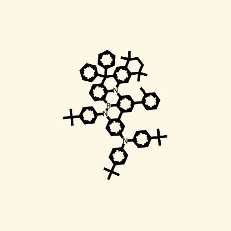 Cc1ccccc1-c1cc2c3c(c1)N1c4cc5c(cc4C(c4ccccc4)(c4ccccc4)c4cccc(c41)B3N(c1ccc(C(C)(C)C)cc1)c1ccc(N(c3ccc(C(C)(C)C)cc3)c3ccc(C(C)(C)C)cc3)cc1-2)C(C)(C)CCC5(C)C